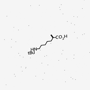 C=C(CCCCCNC(C)(C)C)C(=O)O